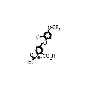 CCC(=O)Nc1ccc(COc2ccc(OC(F)(F)F)cc2Cl)cc1C(=O)O